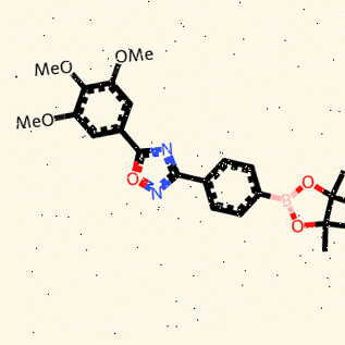 COc1cc(-c2nc(-c3ccc(B4OC(C)(C)C(C)(C)O4)cc3)no2)cc(OC)c1OC